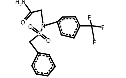 NC(=O)CN(c1ccc(C(F)(F)F)cc1)S(=O)(=O)Cc1ccccc1